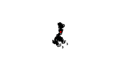 Cc1c(OCC(F)(F)F)ccnc1CN(CCOCCOc1ccc(-c2cc(=O)c3ccccc3o2)cc1)Cc1nccc(OCC(F)(F)F)c1C